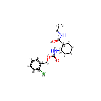 N#CCNC(=O)[C@H]1CCCC[C@H]1NC(=O)OCc1ccccc1Br